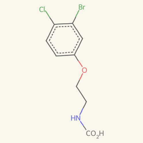 O=C(O)NCCOc1ccc(Cl)c(Br)c1